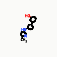 Cc1ccc(Nc2cccc(-c3cccc(O)c3)c2)cn1